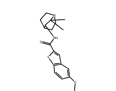 COc1ccc2sc(C(=O)NC3C4CCN(CC4)C3(C)C)cc2c1